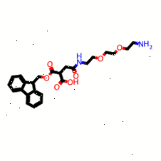 NCCOCCOCCNC(=O)CC(C(=O)O)C(=O)OCC1c2ccccc2-c2ccccc21